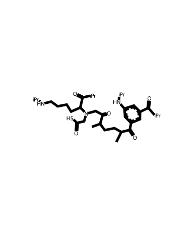 CC(C)NCCCCC(C(=O)C(C)C)N(CC(=O)S)CC(=O)C(C)CCC(C)C(=O)c1cc(NC(C)C)cc(C(=O)C(C)C)c1